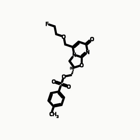 Cc1ccc(S(=O)(=O)OC[C@@H]2Cn3c(COCCF)cc(=O)nc3O2)cc1